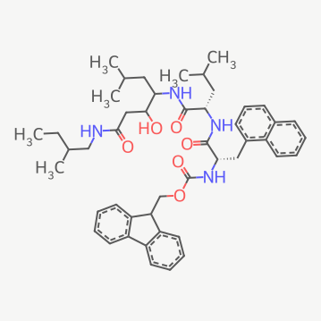 CCC(C)CNC(=O)CC(O)C(CC(C)C)NC(=O)[C@H](CC(C)C)NC(=O)[C@H](Cc1cccc2ccccc12)NC(=O)OCC1c2ccccc2-c2ccccc21